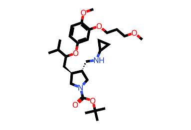 COCCCOc1cc(OC(C[C@@H]2CN(C(=O)OC(C)(C)C)C[C@H]2CNC2CC2)C(C)C)ccc1OC